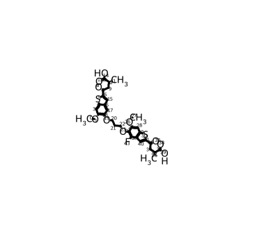 COc1cc2sc(C(=O)C[C@H](C)C(=O)O)cc2cc1OCCCOc1c(OC)cc2sc(C(=O)C[C@H](C)C(=O)O)cc2c1F